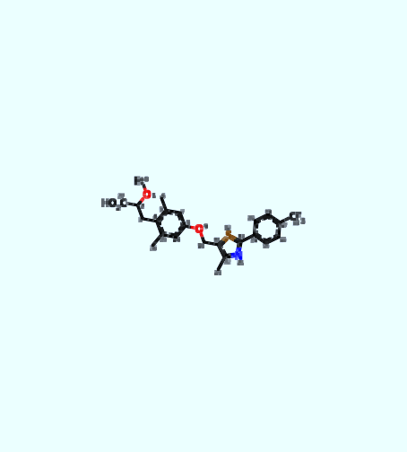 CCOC(Cc1c(C)cc(OCc2sc(-c3ccc(C(F)(F)F)cc3)nc2C)cc1C)C(=O)O